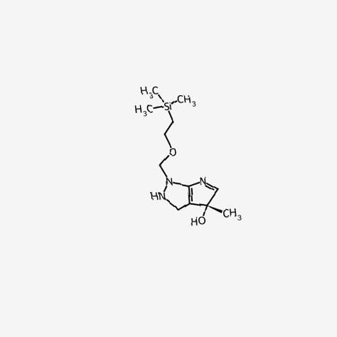 C[C@]1(O)C=NC2=C1CNN2COCC[Si](C)(C)C